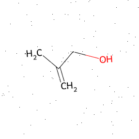 [CH2]C(=C)CO